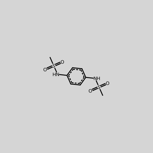 CS(=O)(=O)Nc1ccc(NS(C)(=O)=O)cc1